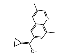 Cc1cnc2c(C)cc(C(O)=C3CC3)cc2c1